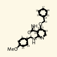 COc1ccc(CNc2nccc(OCc3ccccc3)c2C(N)=O)cc1